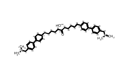 CN(C)Cc1ccc(-c2ccc(CCCCCC(=O)CCCCCc3ccc(-c4ccc(CN(C)C)cc4)cc3)cc2)cc1.Cl